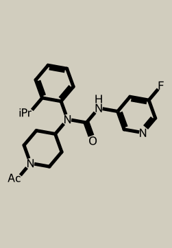 CC(=O)N1CCC(N(C(=O)Nc2cncc(F)c2)c2ccccc2C(C)C)CC1